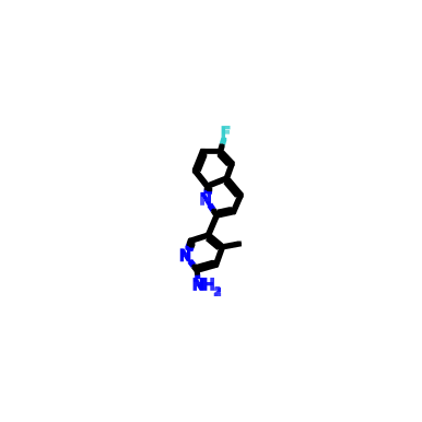 Cc1cc(N)ncc1-c1ccc2cc(F)ccc2n1